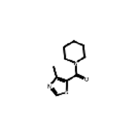 Cc1ncsc1C(=O)N1CCCCC1